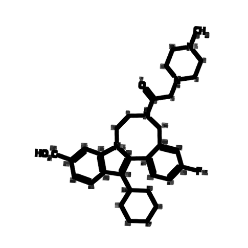 CN1CCN(CC(=O)N2CCn3c(c(C4CCCCC4)c4ccc(C(=O)O)cc43)-c3ccc(F)cc3C2)CC1